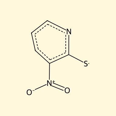 O=[N+]([O-])c1cccnc1[S]